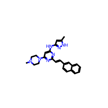 Cc1cc(Nc2cc(N3CCN(C)CC3)nc(/C=C/c3ccc4ccccc4c3)n2)n[nH]1